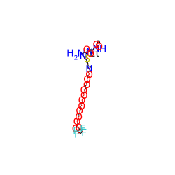 CCON(CCCNC(=O)OC1CCC1)C(=O)C1=Cc2sc(C#CC3CN(CCOCCOCCOCCOCCOCCOCCOCCOCCOCCOCCC(=O)Oc4c(F)c(F)cc(F)c4F)C3)cc2N=C(N)C1